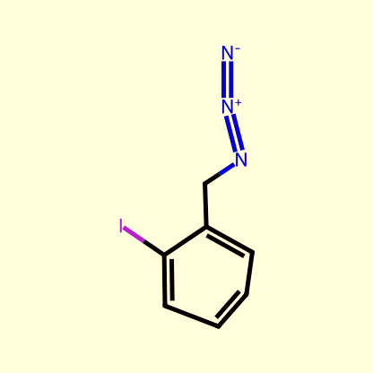 [N-]=[N+]=NCc1ccccc1I